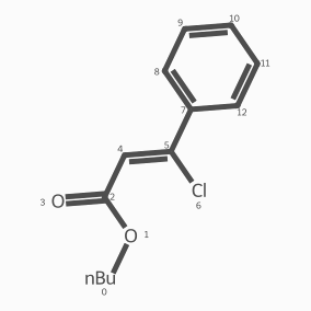 CCCCOC(=O)C=C(Cl)c1ccccc1